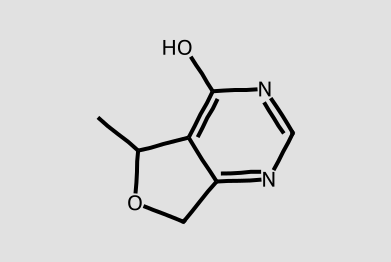 CC1OCc2ncnc(O)c21